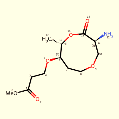 COC(=O)CCO[C@@H]1CCOC[C@H](N)C(=O)O[C@H]1C